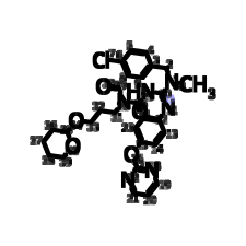 CN(Cc1ccc(Cl)cc1)/C(=N/c1ccc(Oc2ncccn2)cc1)NC(=O)N(C=O)CCCOC1CCCCO1